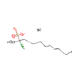 CCCCCCCCCCCCCCCCCCC(F)(CCCCCCCC)S(=O)(=O)[O-].[K+]